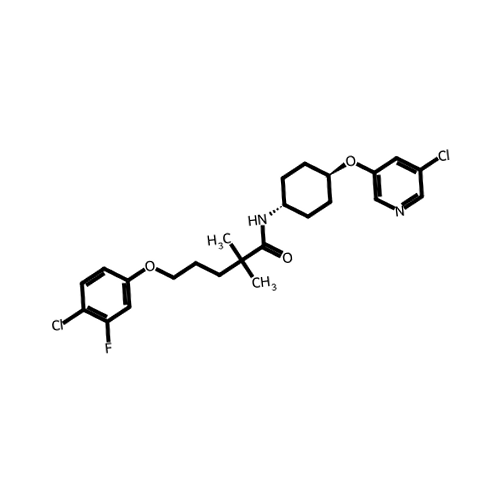 CC(C)(CCCOc1ccc(Cl)c(F)c1)C(=O)N[C@H]1CC[C@H](Oc2cncc(Cl)c2)CC1